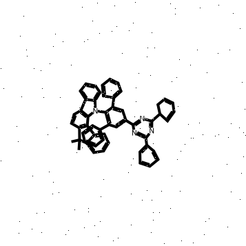 CC1(C)c2ccccc2-c2c1ccc1c3ccccc3n(-c3c(-c4ccccc4)cc(-c4nc(-c5ccccc5)nc(C5C=CC=CC5)n4)cc3-c3ccccc3)c21